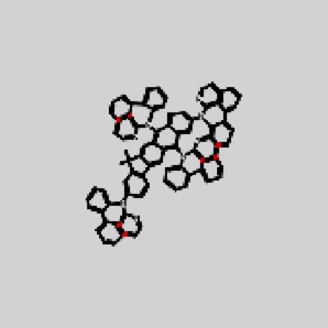 CC1(C)c2cc(N(c3ccccn3)c3ccccc3-c3ccccc3)ccc2-c2cc3c(N(c4ccccn4)c4ccccc4-c4ccccc4)c4cc(N(c5ccccn5)c5ccccc5-c5ccccc5)ccc4c(N(c4ccccn4)c4ccccc4-c4ccccc4)c3cc21